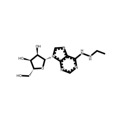 CCNNc1ncnc2c1ncn2[C@@H]1O[C@H](CO)[C@@H](O)[C@H]1O